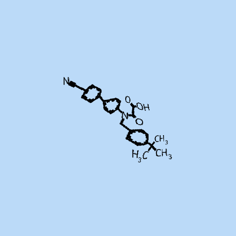 CC(C)(C)c1ccc(CN(C(=O)C(=O)O)c2ccc(-c3ccc(C#N)cc3)cc2)cc1